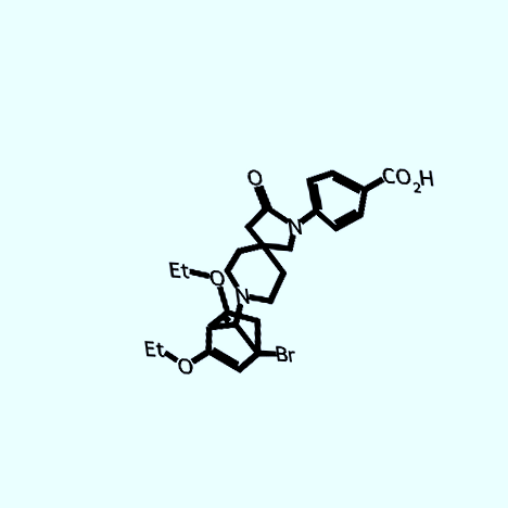 CCOC1=CC2(Br)CC(OCC)=C1C2N1CCC2(CC1)CC(=O)N(c1ccc(C(=O)O)cc1)C2